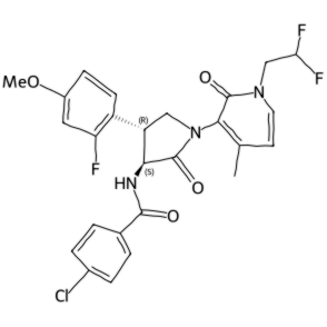 COc1ccc([C@@H]2CN(c3c(C)ccn(CC(F)F)c3=O)C(=O)[C@H]2NC(=O)c2ccc(Cl)cc2)c(F)c1